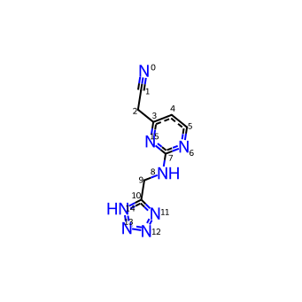 N#CCc1ccnc(NCc2nnn[nH]2)n1